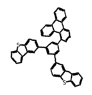 c1ccc2c(c1)sc1ccc(-c3cc(-c4ccc5sc6ccccc6c5c4)cc(-c4cccc5c6ccccc6c6ccccc6c45)c3)cc12